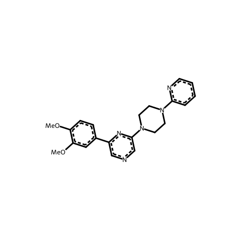 COc1ccc(-c2cncc(N3CCN(c4ccccn4)CC3)n2)cc1OC